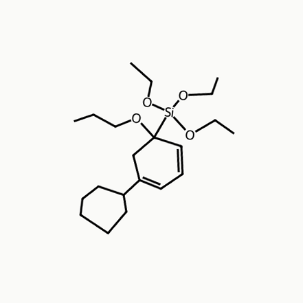 CCCOC1([Si](OCC)(OCC)OCC)C=CC=C(C2CCCCC2)C1